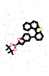 CC1(C)OB(c2cc3cc(-c4cccc5sc6ccc7ccccc7c6c45)ccc3o2)OC1(C)C